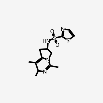 CC1=NC(C)C(C)=C2CC(NS(=O)(=O)c3nccs3)CN12